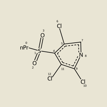 CCCS(=O)(=O)c1c(Cl)cnc(Cl)c1Cl